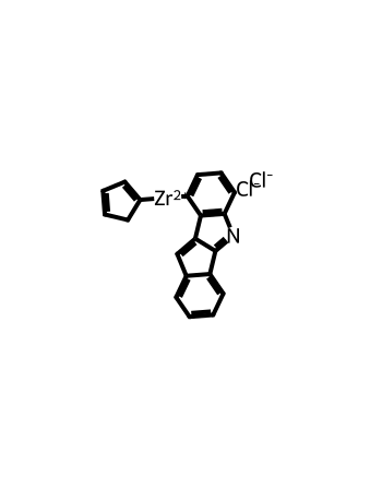 C1=CC[C]([Zr+2][c]2cccc3c2C2=Cc4ccccc4C2=N3)=C1.[Cl-].[Cl-]